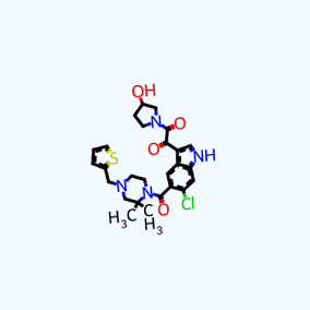 CC1(C)CN(Cc2cccs2)CCN1C(=O)c1cc2c(C(=O)C(=O)N3CCC(O)C3)c[nH]c2cc1Cl